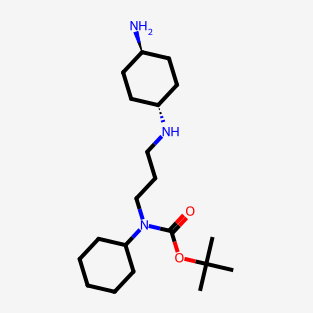 CC(C)(C)OC(=O)N(CCCN[C@H]1CC[C@H](N)CC1)C1CCCCC1